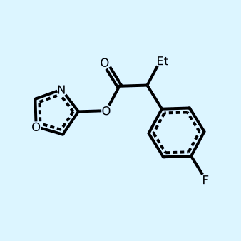 CCC(C(=O)Oc1cocn1)c1ccc(F)cc1